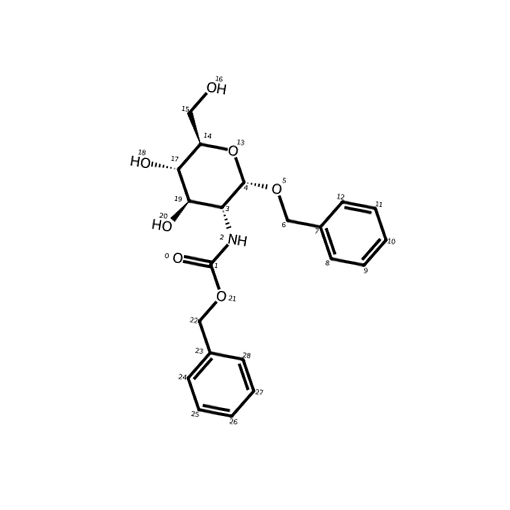 O=C(N[C@H]1[C@@H](OCc2ccccc2)O[C@H](CO)[C@@H](O)[C@@H]1O)OCc1ccccc1